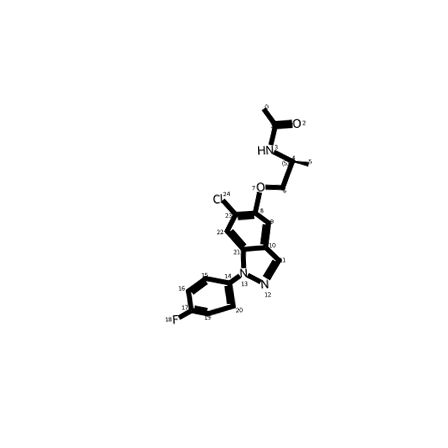 CC(=O)N[C@@H](C)COc1cc2cnn(-c3ccc(F)cc3)c2cc1Cl